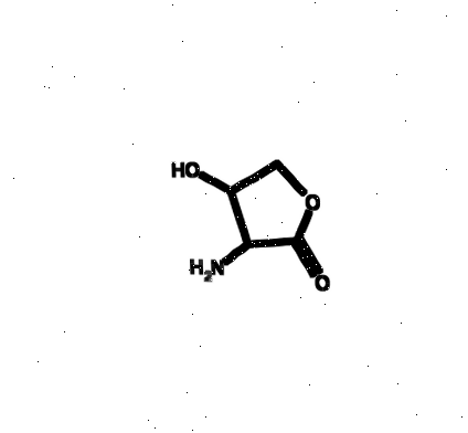 NC1C(=O)OCC1O